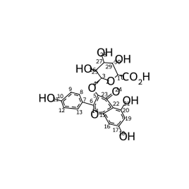 O=C(O)[C@H]1O[C@@H](Oc2c(-c3ccc(O)cc3)oc3cc(O)cc(O)c3c2=O)C(O)C(O)[C@@H]1O